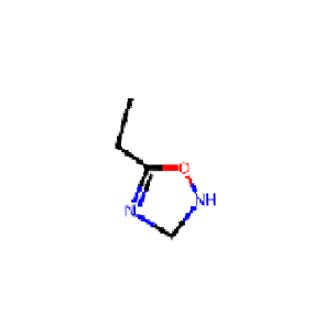 CCC1=NCNO1